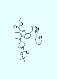 CCOC(=O)c1cc2c(-c3ccnn3C3CCCCO3)ccn2c(N(C)C2CCN(C(=O)OC(C)(C)C)CC2)c1C